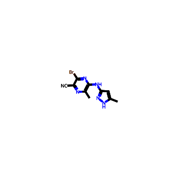 Cc1cc(Nc2nc(Br)c(C#N)nc2C)n[nH]1